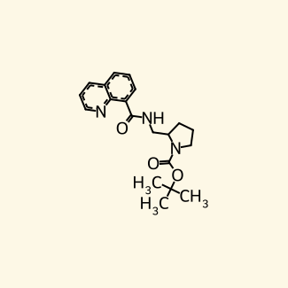 CC(C)(C)OC(=O)N1CCCC1CNC(=O)c1cccc2cccnc12